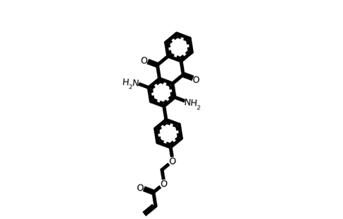 C=CC(=O)OCOc1ccc(-c2cc(N)c3c(c2N)C(=O)c2ccccc2C3=O)cc1